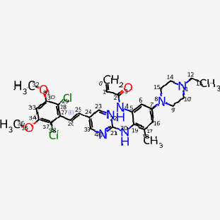 C=CC(=O)Nc1cc(N2CCN(CC)CC2)cc(C)c1Nc1ncc(/C=C/c2c(Cl)c(OC)cc(OC)c2Cl)cn1